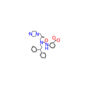 C=C(CN1CCN(C)CC1)CN(CCC(c1ccccc1)c1ccccc1)C(=O)Nc1cccc(C(=O)OC)c1